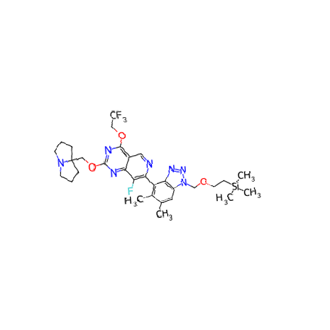 Cc1cc2c(nnn2COCC[Si](C)(C)C)c(-c2ncc3c(OCC(F)(F)F)nc(OCC45CCCN4CCC5)nc3c2F)c1C